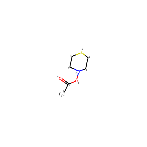 O=C(ON1CCSCC1)C(F)(F)F